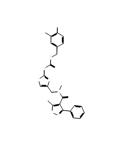 Cc1onc(-c2ccccc2)c1C(=O)N(C)Cc1csc(NC(=O)NCc2ccc(Cl)c(Cl)c2)n1